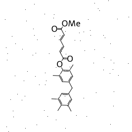 COC(=O)C=CC=CC(=O)Oc1c(C)cc(Cc2cc(C)c(C)c(C)c2)cc1C